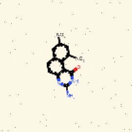 Nc1nc2ccc3cc([N+](=O)[O-])cc([N+](=O)[O-])c3c2c(=O)[nH]1